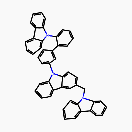 c1cc(-c2ccccc2-n2c3ccccc3c3ccccc32)cc(-n2c3ccccc3c3cc(Cn4c5ccccc5c5ccccc54)ccc32)c1